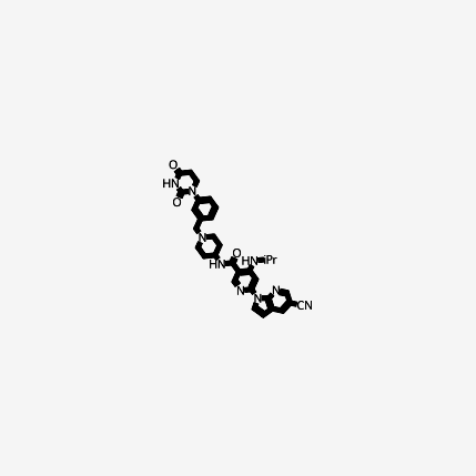 CC(C)Nc1cc(-n2ccc3cc(C#N)cnc32)ncc1C(=O)NC1CCN(Cc2cccc(N3CCC(=O)NC3=O)c2)CC1